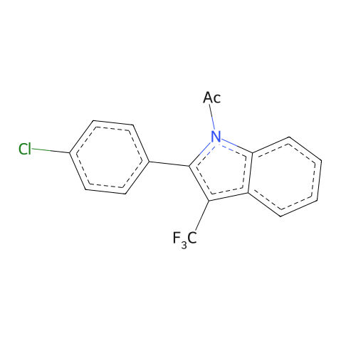 CC(=O)n1c(-c2ccc(Cl)cc2)c(C(F)(F)F)c2ccccc21